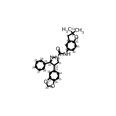 CC1(C)Cc2cc(NC(=O)N3CC(c4ccc5c(c4)OCO5)C(c4ccccc4)=N3)ccc2O1